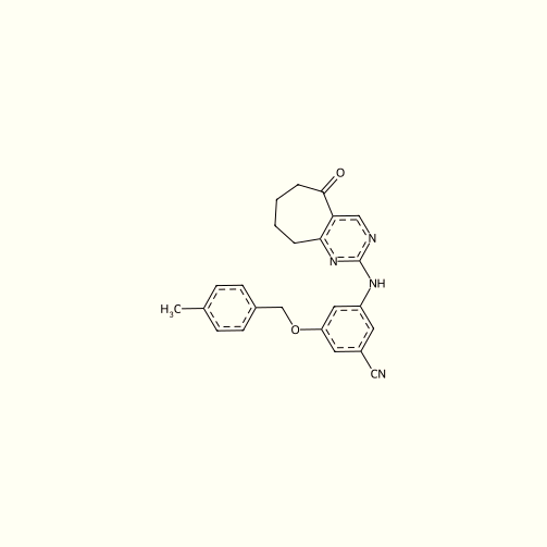 Cc1ccc(COc2cc(C#N)cc(Nc3ncc4c(n3)CCCCC4=O)c2)cc1